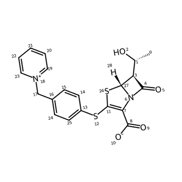 C[C@@H](O)[C@H]1C(=O)N2C(C(=O)[O-])=C(Sc3ccc(C[n+]4ccccc4)cc3)S[C@H]12